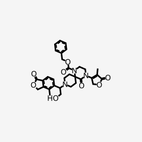 CC1=C(N2CCN(C(=O)OCc3ccccc3)C3(CCN(C(CO)c4ccc5c(c4C)COC5=O)CC3)C2=O)COC1=O